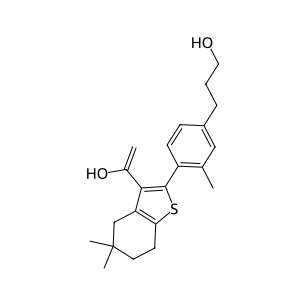 C=C(O)c1c(-c2ccc(CCCO)cc2C)sc2c1CC(C)(C)CC2